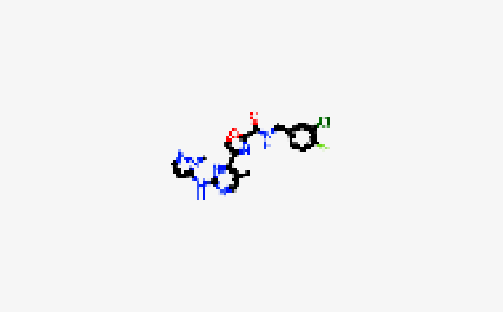 Cc1cnc(Nc2ccnn2C)nc1-c1coc(C(=O)NCc2ccc(F)c(Cl)c2)n1